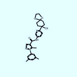 Cc1cc(C)cc(-n2ncc(C(=O)Nc3ccc(C4(C#N)CCC5(CC4)OCCO5)nc3)c2C)c1